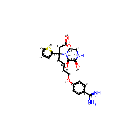 N=C(N)c1ccc(OCCCCC(CC(=O)O)(c2cccs2)N2CCNC(=O)C2=O)cc1